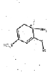 CCSC1=CC(S(=O)(=O)O)=CC[C@@]1(C)N